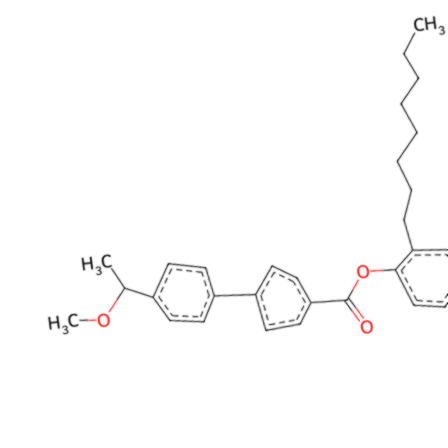 CCCCCCCCc1ccccc1OC(=O)c1ccc(-c2ccc(C(C)OC)cc2)cc1